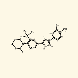 CC1CCCCN1c1ccc(-c2nc(-c3ccc(O)c(F)c3)no2)cc1C(F)(F)F